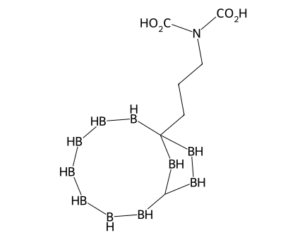 O=C(O)N(CCCC12BBBBBBBC(BB1)B2)C(=O)O